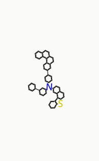 c1ccc(-c2cccc(N(c3ccc(-c4ccc5c(ccc6ccc7ccccc7c65)c4)cc3)c3ccc4ccc5sc6ccccc6c5c4c3)c2)cc1